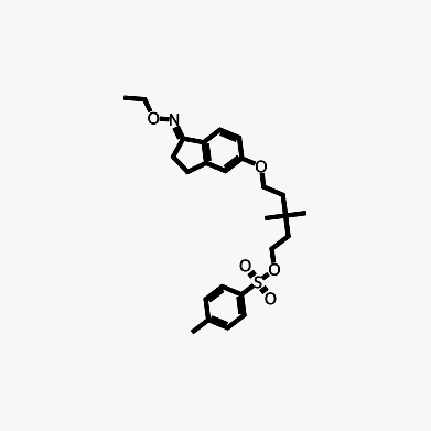 CCO/N=C1\CCc2cc(OCCC(C)(C)CCOS(=O)(=O)c3ccc(C)cc3)ccc21